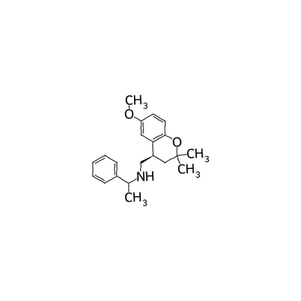 COc1ccc2c(c1)[C@H](CNC(C)c1ccccc1)CC(C)(C)O2